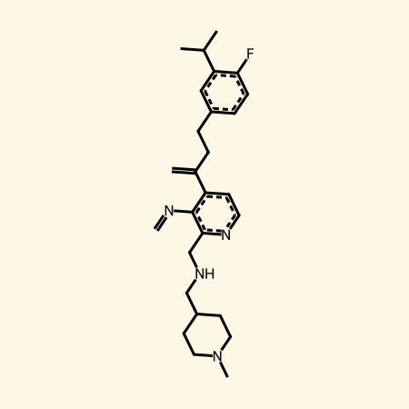 C=Nc1c(C(=C)CCc2ccc(F)c(C(C)C)c2)ccnc1CNCC1CCN(C)CC1